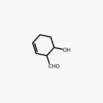 O=CC1C=CCCC1O